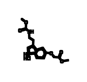 COC(=O)COc1ccc2[nH]cc(CCNC(=O)OC)c2c1.Cl